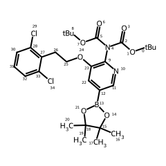 CC(C)(C)OC(=O)N(C(=O)OC(C)(C)C)c1ncc(B2OC(C)(C)C(C)(C)O2)cc1OCCc1c(Cl)cccc1Cl